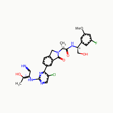 COc1cc(F)cc([C@@H](CO)NC(=O)[C@@H](C)N2Cc3ccc(-c4nc(N/C(C=N)=C(\C)O)ncc4Cl)cc3C2=O)c1